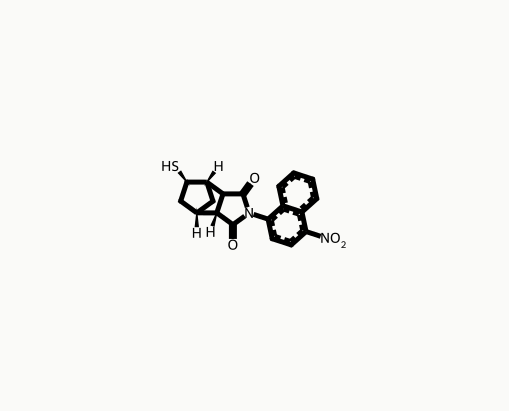 O=C1C2[C@@H]3C[C@@H](C[C@H]3S)[C@H]2C(=O)N1c1ccc([N+](=O)[O-])c2ccccc12